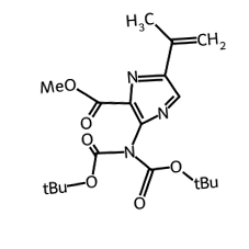 C=C(C)c1cnc(N(C(=O)OC(C)(C)C)C(=O)OC(C)(C)C)c(C(=O)OC)n1